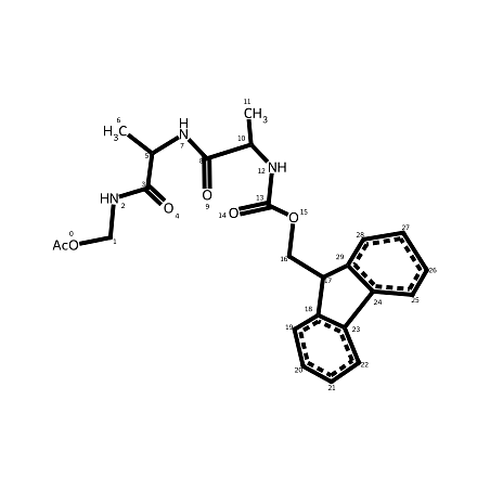 CC(=O)OCNC(=O)C(C)NC(=O)C(C)NC(=O)OCC1c2ccccc2-c2ccccc21